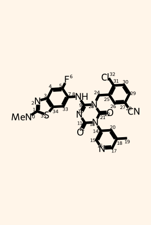 CNc1nc2cc(F)c(Nc3nc(=O)n(-c4cncc(C)c4)c(=O)n3Cc3cc(C#N)ccc3Cl)cc2s1